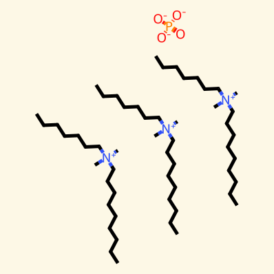 CCCCCCCCC[N+](C)(C)CCCCCCC.CCCCCCCCC[N+](C)(C)CCCCCCC.CCCCCCCCC[N+](C)(C)CCCCCCC.O=P([O-])([O-])[O-]